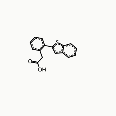 O=C(O)Cc1ccccc1-c1cc2ccccc2s1